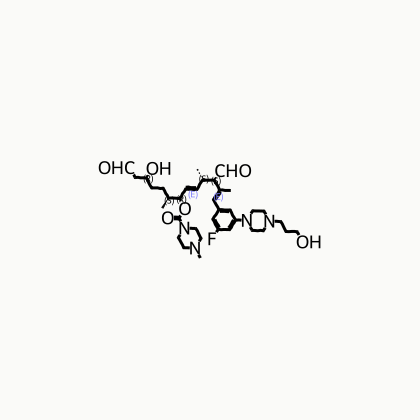 C/C(=C\c1cc(F)cc(N2CCN(CCCO)CC2)c1)[C@@H](C=O)[C@@H](C)/C=C/[C@H](OC(=O)N1CCN(C)CC1)[C@@H](C)CC[C@@H](O)CC=O